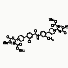 Cc1cc(NC(=O)c2ccc(C3=CCN(C(=NC(=O)OC(C)(C)C)NC(=O)OC(C)(C)C)CC3)c(Cl)c2)ccc1C1=CCN(C(=NC(=O)OC(C)(C)C)NC(=O)OC(C)(C)C)CC1